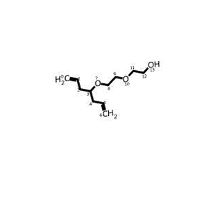 C=CCC(CC=C)OCCOCCO